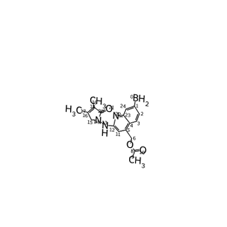 Bc1ccc2c(COC(C)=O)cc(NN3CC(C)=C(C)C3=O)nc2c1